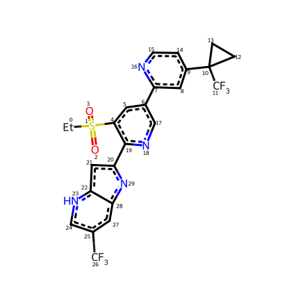 CCS(=O)(=O)c1cc(-c2cc(C3(C(F)(F)F)CC3)ccn2)cnc1-c1cc2[nH]cc(C(F)(F)F)cc-2n1